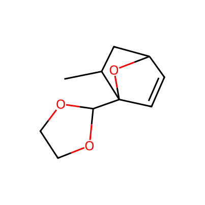 CC1CC2C=CC1(C1OCCO1)O2